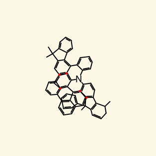 CC1CC=CC2=C1c1ccc(N(c3ccccc3-c3cccc4c3-c3ccccc3C4(C)C)c3ccccc3-c3cccc4cccc(-c5ccccc5)c34)cc1C2(C)c1ccccc1